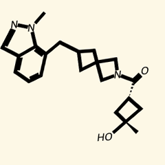 Cn1ncc2cccc(CC3CC4(C3)CN(C(=O)[C@H]3C[C@@](C)(O)C3)C4)c21